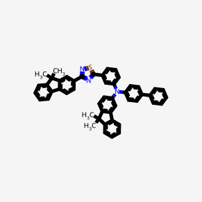 CC1(C)c2ccccc2-c2cc(N(c3ccc(-c4ccccc4)cc3)c3cccc(-c4nc(-c5ccc6c(c5)C(C)(C)c5ccccc5-6)ns4)c3)ccc21